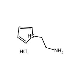 Cl.NCC[SH]1C=CC=C1